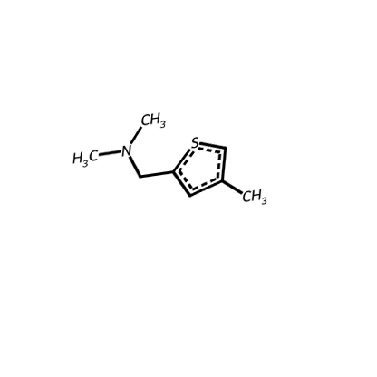 Cc1csc(CN(C)C)c1